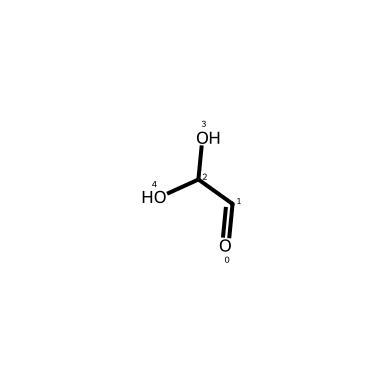 O=CC(O)O